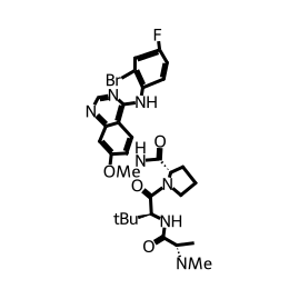 CN[C@@H](C)C(=O)N[C@H](C(=O)N1CCC[C@H]1C(=O)Nc1cc2c(Nc3ccc(F)cc3Br)ncnc2cc1OC)C(C)(C)C